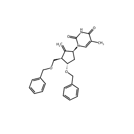 C=C1[C@H](COCc2ccccc2)[C@@H](OCc2ccccc2)C[C@@H]1n1cc(C)c(=O)[nH]c1=O